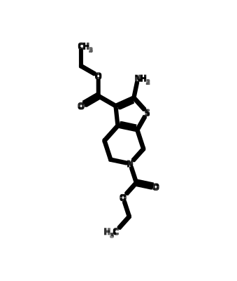 CCOC(=O)c1c(N)sc2c1CCN(C(=O)OCC)C2